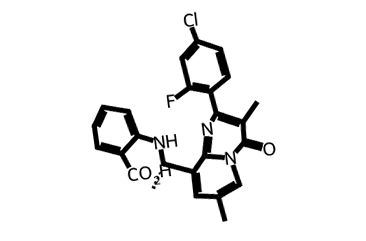 Cc1cc([C@H](C)Nc2ccccc2C(=O)O)c2nc(-c3ccc(Cl)cc3F)c(C)c(=O)n2c1